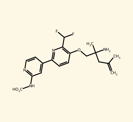 C=C(C)CC(C)(N)COc1ccc(-c2ccnc(NC(=O)O)c2)nc1C(F)F